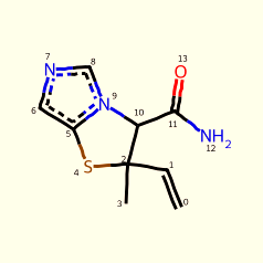 C=CC1(C)Sc2cncn2C1C(N)=O